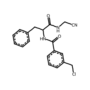 N#CCNC(=O)C(Cc1ccccc1)NC(=O)c1cccc(CCl)c1